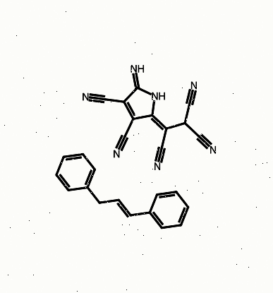 C(=Cc1ccccc1)Cc1ccccc1.N#CC1=C(C#N)C(=C(C#N)C(C#N)C#N)NC1=N